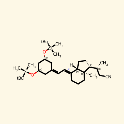 C[C@H](CC#N)[C@H]1CC[C@H]2/C(=C/C=C3C[C@@H](O[Si](C)(C)C(C)(C)C)C[C@H](O[Si](C)(C)C(C)(C)C)C3)CCC[C@]12C